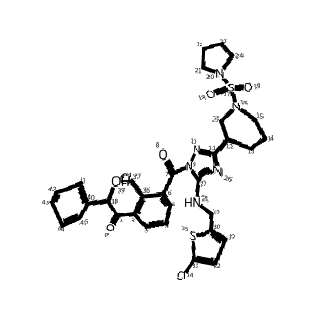 O=C(c1cccc(C(=O)n2nc(C3CCCN(S(=O)(=O)N4CCCC4)C3)nc2NCc2ccc(Cl)s2)c1Cl)C(O)c1ccccc1